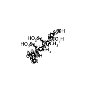 Cc1cc(N=Nc2cc(OCCCS(=O)(=O)O)c(N=Nc3c(C)c(C(N)=O)c4nc5ccccc5n4c3O)cc2C)c(OCCCS(=O)(=O)O)cc1N=NC1=C(C(=O)O)C=C(SOOO)CC1